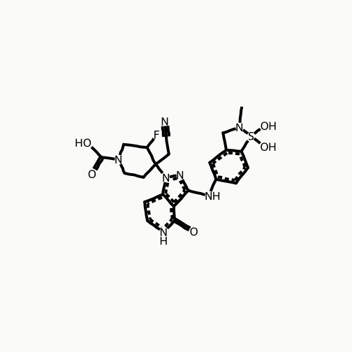 CN1Cc2cc(Nc3nn(C4(CC#N)CCN(C(=O)O)CC4F)c4cc[nH]c(=O)c34)ccc2S1(O)O